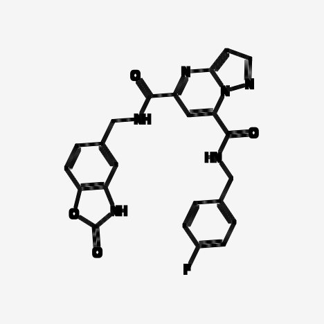 O=C(NCc1ccc2oc(=O)[nH]c2c1)c1cc(C(=O)NCc2ccc(F)cc2)n2nccc2n1